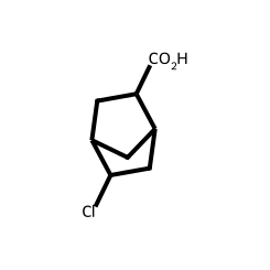 O=C(O)C1CC2CC1CC2Cl